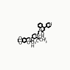 CC(C)(C)C1CC(N(Cc2ccc3c(c2)OCCO3)C(=O)O)CCN1CCn1c(=O)cc(-c2ccncc2)c2ccccc21